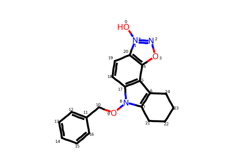 O[n+]1noc2c3c4c(n(OCc5ccccc5)c3ccc21)CCCC4